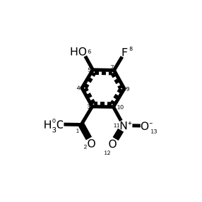 CC(=O)c1cc(O)c(F)cc1[N+](=O)[O-]